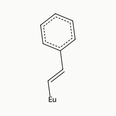 [Eu][CH]=Cc1ccccc1